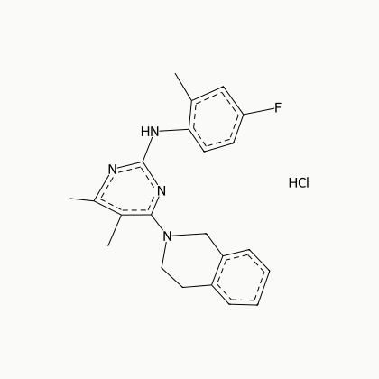 Cc1cc(F)ccc1Nc1nc(C)c(C)c(N2CCc3ccccc3C2)n1.Cl